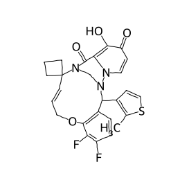 Cc1sccc1C1c2ccc(F)c(F)c2OC/C=C/C2(CCC2)N2CN1n1ccc(=O)c(O)c1C2=O